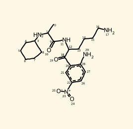 CC(NC1CCCCC1)C(=O)NC(CCCCN)C(=O)c1cc([N+](=O)[O-])ccc1N